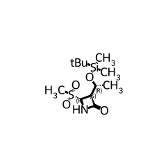 C[C@@H](O[Si](C)(C)C(C)(C)C)[C@H]1C(=O)N[C@@H]1S(C)(=O)=O